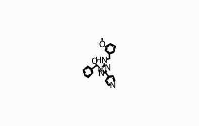 COc1cccc(CNc2nc(-c3ccncc3)nn2C(=O)c2ccccc2)c1